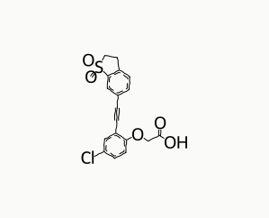 O=C(O)COc1ccc(Cl)cc1C#Cc1ccc2c(c1)S(=O)(=O)CC2